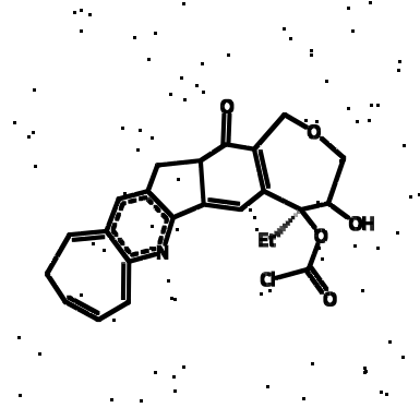 CC[C@]1(OC(=O)Cl)C2=C(COCC1O)C(=O)C1Cc3cc4c(nc3C1=C2)=CC=CCC=4